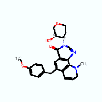 COc1ccc(Cc2cc3c(=O)n([C@H]4CCOC[C@@H]4O)cnc3c3c2C=CCN3C)cc1